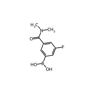 CN(C)C(=O)c1cc(F)cc(B(O)O)c1